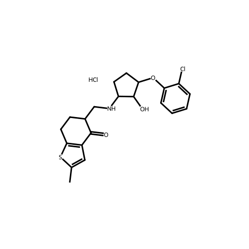 Cc1cc2c(s1)CCC(CNC1CCC(Oc3ccccc3Cl)C1O)C2=O.Cl